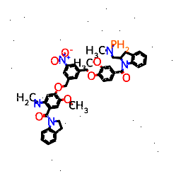 C=Nc1cc(OCc2cc(COc3ccc(C(=O)N4c5ccccc5CC4CN(C)P)cc3OC)cc([N+](=O)[O-])c2)c(OC)cc1C(=O)N1CCc2ccccc21